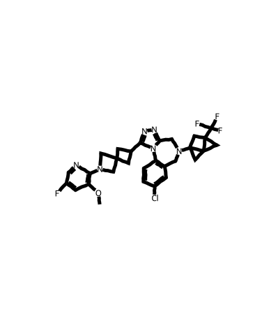 COc1cc(F)cnc1N1CC2(CC(c3nnc4n3-c3ccc(Cl)cc3CN(C35CC6(C(F)(F)F)CC36C5)C4)C2)C1